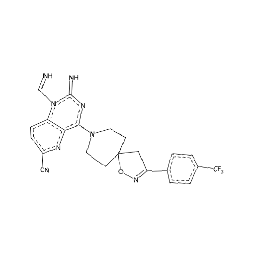 N#Cc1ccc2c(n1)c(N1CCC3(CC1)CC(c1ccc(C(F)(F)F)cc1)=NO3)nc(=N)n2C=N